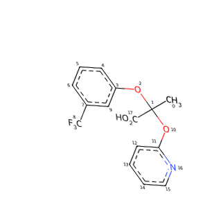 CC(Oc1cccc(C(F)(F)F)c1)(Oc1ccccn1)C(=O)O